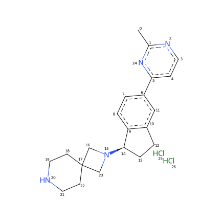 Cc1nccc(-c2ccc3c(c2)CC[C@H]3N2CC3(CCNCC3)C2)n1.Cl.Cl